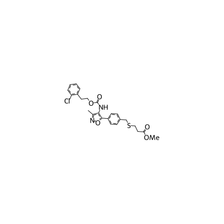 COC(=O)CCSCc1ccc(-c2onc(C)c2NC(=O)OCCc2ccccc2Cl)cc1